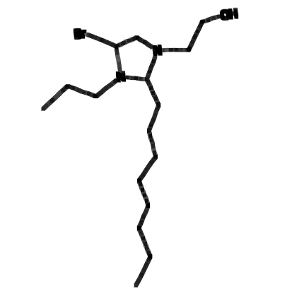 CCCCCCCCC1N(CCO)CC(Br)N1CCC